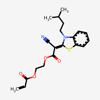 C=CC(=O)OCCOC(=O)/C(C#N)=C1\Sc2ccccc2N1CCC(C)C